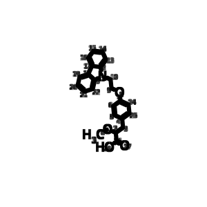 COC(Cc1ccc(OCCn2c3ccccc3c3ccccc32)cc1)C(=O)O